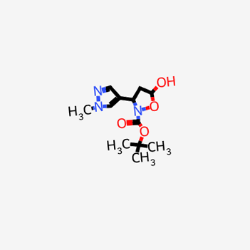 Cn1cc(C2CC(O)ON2C(=O)OC(C)(C)C)cn1